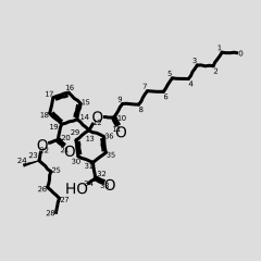 CCCCCCCCCCC(=O)OC1(c2ccccc2C(=O)O[C@H](C)CCCC)C=CC(C(=O)O)C=C1